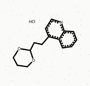 Cl.c1ccc2c(CCC3OCCCO3)ccnc2c1